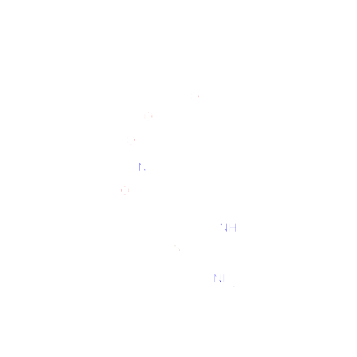 COC(=O)c1ccc(NC(N)=S)cc1[N+](=O)[O-]